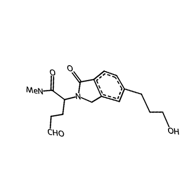 CNC(=O)C(CCC=O)N1Cc2cc(CCCO)ccc2C1=O